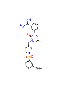 COc1cccc(S(=O)(=O)N2CCC(CN3CC(C)CN(c4cccc(C(=N)N)c4)C3=O)CC2)c1